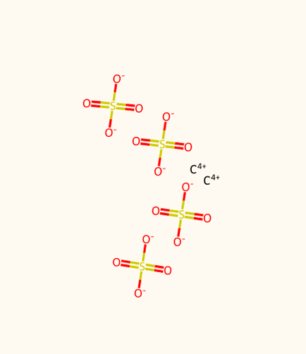 O=S(=O)([O-])[O-].O=S(=O)([O-])[O-].O=S(=O)([O-])[O-].O=S(=O)([O-])[O-].[C+4].[C+4]